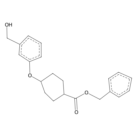 O=C(OCc1ccccc1)C1CCC(Oc2cccc(CO)c2)CC1